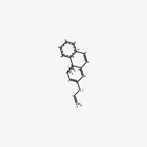 C=CSC1=CC2OC=NC23C(=C1)C=Cc1ccccc13